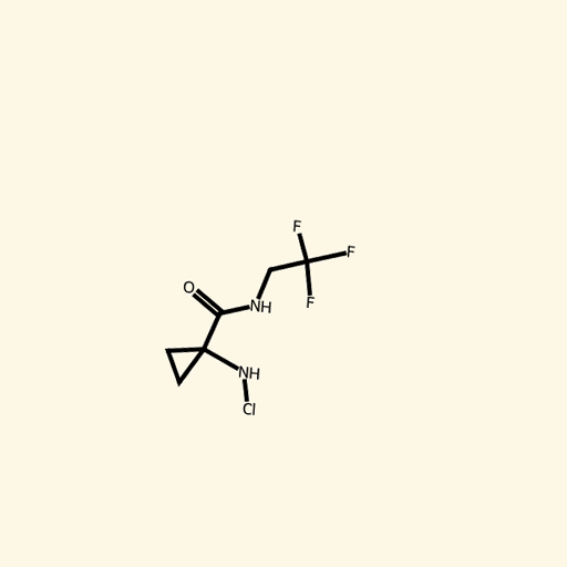 O=C(NCC(F)(F)F)C1(NCl)CC1